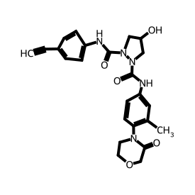 C#Cc1ccc(NC(=O)N2CC(O)CN2C(=O)Nc2ccc(N3CCOCC3=O)c(C)c2)cc1